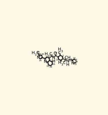 Cc1cc(C(C)(C)NCc2cscn2)ccc1C(=O)N[C@H](C)c1cc(-c2cnn(C)c2)nc2ccccc12